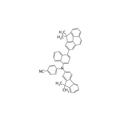 CC1(C)c2ccccc2-c2ccc(N(c3ccc(C#N)cc3)c3ccc(-c4cc5c6c(ccc7cccc(c76)C5(C)C)c4)c4ccccc34)cc21